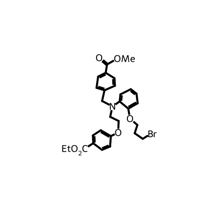 CCOC(=O)c1ccc(OCCN(Cc2ccc(C(=O)OC)cc2)c2ccccc2OCCCBr)cc1